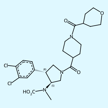 CN(C(=O)O)[C@@H]1CN(C(=O)C2CCN(C(=O)C3CCOCC3)CC2)C[C@H]1c1ccc(Cl)c(Cl)c1